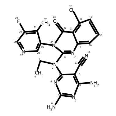 CCN(c1nc(N)nc(N)c1C#N)c1nc2cccc(Cl)c2c(=O)n1-c1cncc(F)c1C